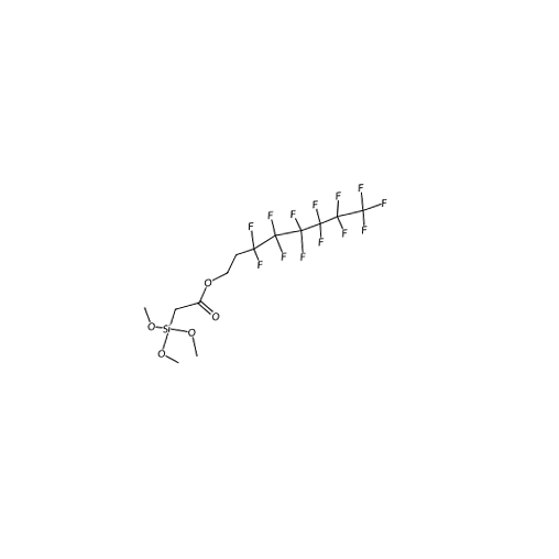 CO[Si](CC(=O)OCCC(F)(F)C(F)(F)C(F)(F)C(F)(F)C(F)(F)C(F)(F)F)(OC)OC